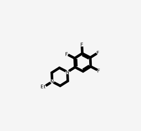 CCN1CCN(c2cc(F)c(F)c(F)c2F)CC1